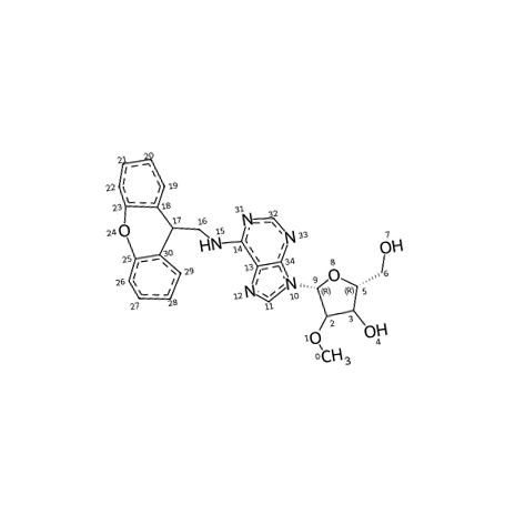 COC1C(O)[C@@H](CO)O[C@H]1n1cnc2c(NCC3c4ccccc4Oc4ccccc43)ncnc21